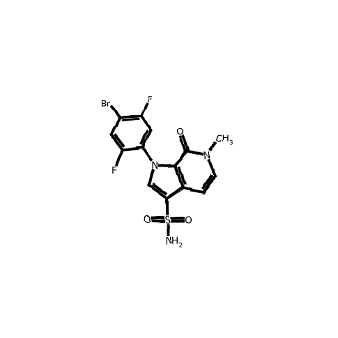 Cn1ccc2c(S(N)(=O)=O)cn(-c3cc(F)c(Br)cc3F)c2c1=O